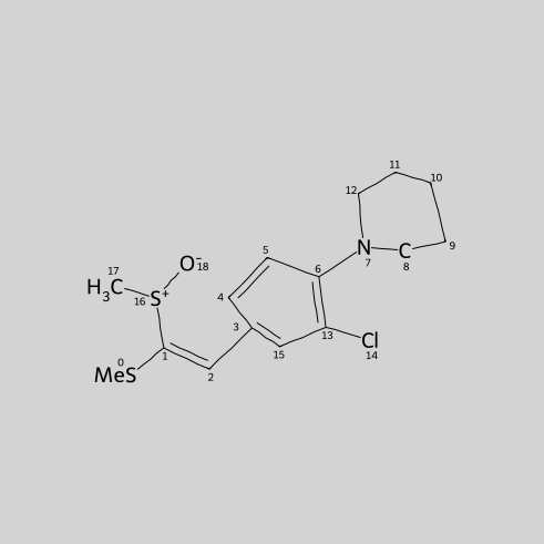 CSC(=Cc1ccc(N2CCCCC2)c(Cl)c1)[S+](C)[O-]